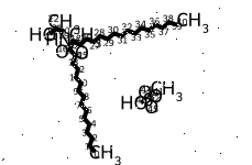 CCCCCCCCCCCCCCCC(=O)C(C)(NCC(C)O)C(=O)CCCCCCCCCCCCCCC.COS(=O)(=O)O